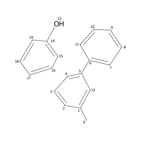 Cc1cccc(-c2ccccc2)c1.Oc1ccccc1